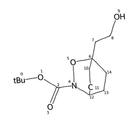 CC(C)(C)OC(=O)N1OC2(CCO)CCC1CC2